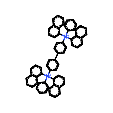 c1ccc([N+](c2ccc(-c3ccc([N+](c4ccccc4)(c4cccc5ccccc45)c4cccc5ccccc45)cc3)cc2)(c2cccc3ccccc23)c2cccc3ccccc23)cc1